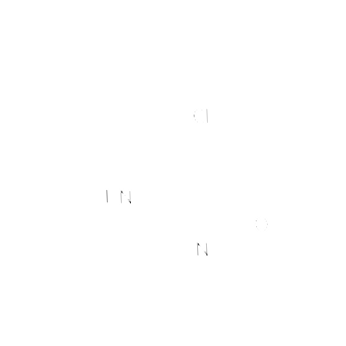 [CH2]Nc1nocc1Cl